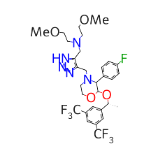 COCCN(CCOC)Cc1[nH]nnc1CN1CCOC(O[C@H](C)c2cc(C(F)(F)F)cc(C(F)(F)F)c2)C1c1ccc(F)cc1